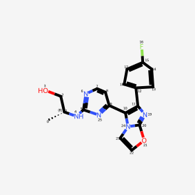 C[C@H](CO)Nc1nccc(-c2c(-c3ccc(F)cc3)nc3occn23)n1